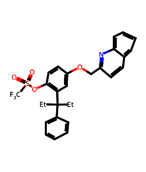 CCC(CC)(c1ccccc1)c1cc(OCc2ccc3ccccc3n2)ccc1OS(=O)(=O)C(F)(F)F